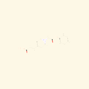 O=C(O)CCC1CCN(CC(=O)OC2CCCCC2)CC1